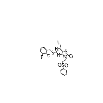 O=c1sc2c(CI)nc(SCc3cccc(F)c3F)nc2n1CCS(=O)(=O)c1ccccc1